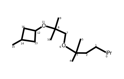 CC(C)CCC(C)(C)OCC(C)(C)OC1CC(C)C1